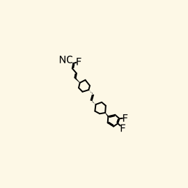 N#CC(F)=CC=C[C@H]1CC[C@H](C=C[C@H]2CC[C@H](c3ccc(F)c(F)c3)CC2)CC1